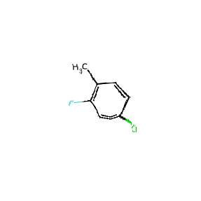 Cc1ccc(Cl)[c]c1F